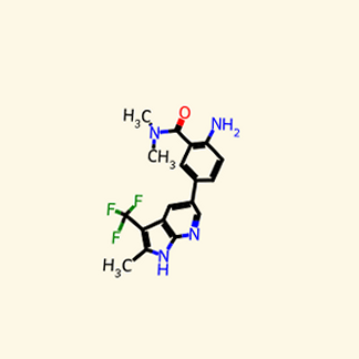 Cc1[nH]c2ncc(-c3ccc(N)c(C(=O)N(C)C)c3)cc2c1C(F)(F)F